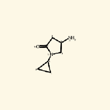 NC1CC(=O)N(C2CC2)C1